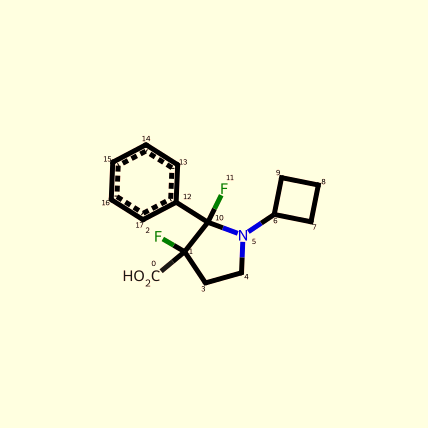 O=C(O)C1(F)CCN(C2CCC2)C1(F)c1ccccc1